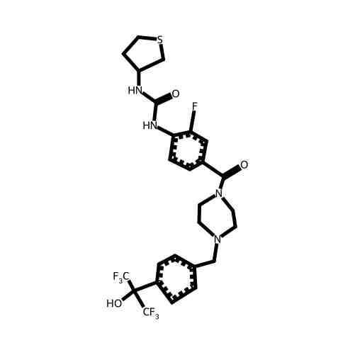 O=C(Nc1ccc(C(=O)N2CCN(Cc3ccc(C(O)(C(F)(F)F)C(F)(F)F)cc3)CC2)cc1F)NC1CCSC1